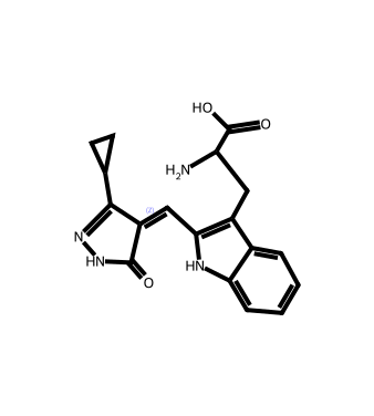 NC(Cc1c(/C=C2\C(=O)NN=C2C2CC2)[nH]c2ccccc12)C(=O)O